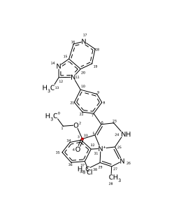 CCOC(=O)C1=C(c2ccc(-n3c(C)nc4cnccc43)cc2)CNC2=NC(C)=C(C)[N+]21c1ccccc1Cl